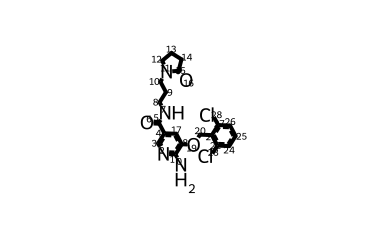 Nc1ncc(C(=O)NCCCN2CCCC2=O)cc1OCc1c(Cl)cccc1Cl